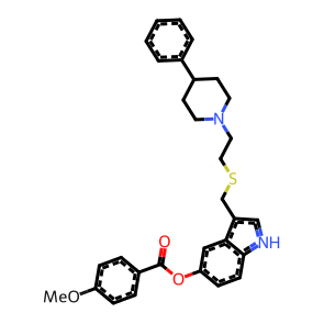 COc1ccc(C(=O)Oc2ccc3[nH]cc(CSCCN4CCC(c5ccccc5)CC4)c3c2)cc1